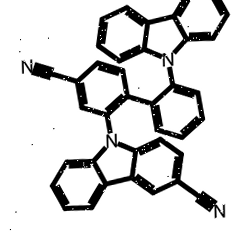 N#Cc1ccc(-c2ccccc2-n2c3ccccc3c3ccccc32)c(-n2c3ccccc3c3cc(C#N)ccc32)c1